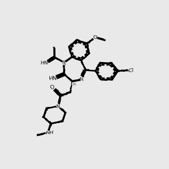 CNC1CCN(C(=O)C[C@@H]2N=C(c3ccc(Cl)cc3)c3cc(OC)ccc3N(C(C)=N)C2=N)CC1